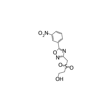 O=[N+]([O-])c1cccc(-c2nc(CS(=O)(=O)CCO)no2)c1